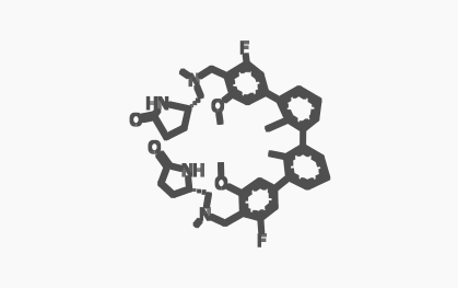 COc1cc(-c2cccc(-c3cccc(-c4cc(F)c(CN(C)C[C@@H]5CCC(=O)N5)c(OC)c4)c3C)c2C)cc(F)c1CN(C)C[C@@H]1CCC(=O)N1